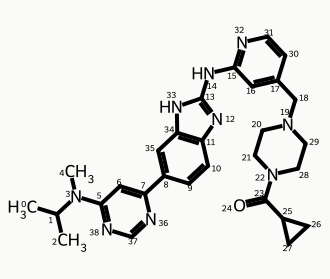 CC(C)N(C)c1cc(-c2ccc3nc(Nc4cc(CN5CCN(C(=O)C6CC6)CC5)ccn4)[nH]c3c2)ncn1